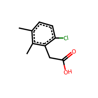 Cc1ccc(Cl)c(CC(=O)O)c1C